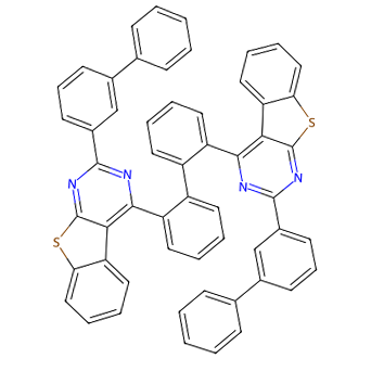 c1ccc(-c2cccc(-c3nc(-c4ccccc4-c4ccccc4-c4nc(-c5cccc(-c6ccccc6)c5)nc5sc6ccccc6c45)c4c(n3)sc3ccccc34)c2)cc1